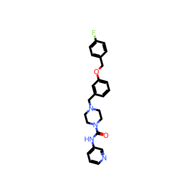 O=C(Nc1cccnc1)N1CCN(Cc2cccc(OCc3ccc(F)cc3)c2)CC1